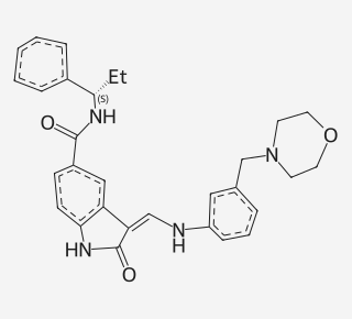 CC[C@H](NC(=O)c1ccc2c(c1)C(=CNc1cccc(CN3CCOCC3)c1)C(=O)N2)c1ccccc1